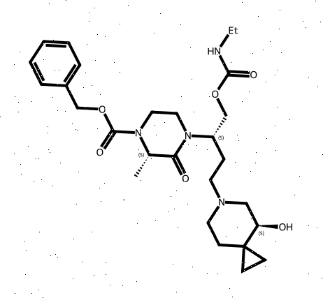 CCNC(=O)OC[C@H](CCN1CCC2(CC2)[C@H](O)C1)N1CCN(C(=O)OCc2ccccc2)[C@@H](C)C1=O